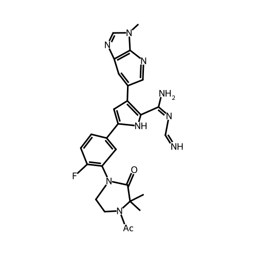 CC(=O)N1CCN(c2cc(-c3cc(-c4cnc5c(c4)ncn5C)c(/C(N)=N\C=N)[nH]3)ccc2F)C(=O)C1(C)C